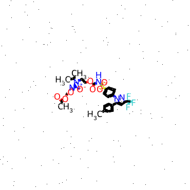 CC(=O)OCON=[N+]([O-])N(CCOC(=O)NS(=O)(=O)c1ccc(-n2nc(C(F)(F)F)cc2-c2ccc(C)cc2)cc1)C(C)C